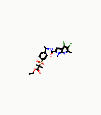 CCOC(=O)C(C)(C)S(=O)(=O)c1ccc(C(C)NC(=O)c2cc3c(Cl)c(Cl)c(C)nc3n2C)cc1